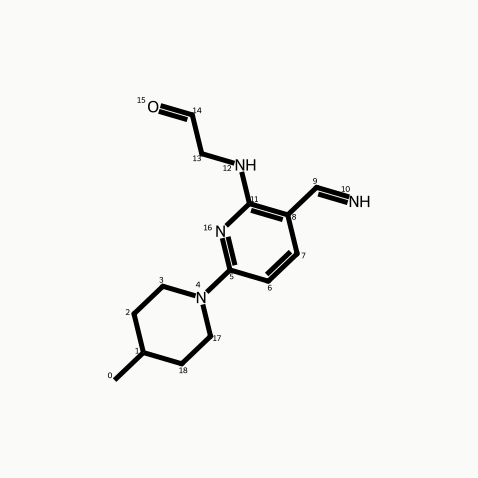 CC1CCN(c2ccc(C=N)c(NCC=O)n2)CC1